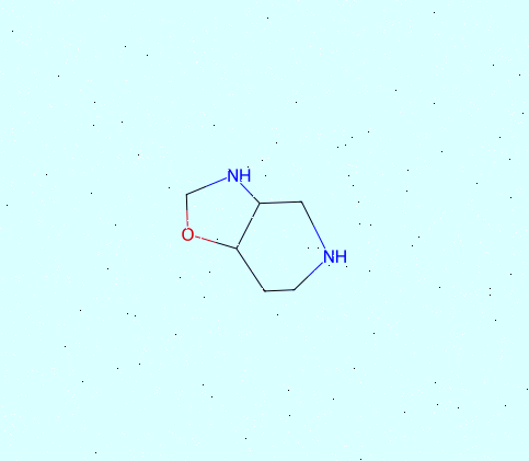 C1CC2OCNC2CN1